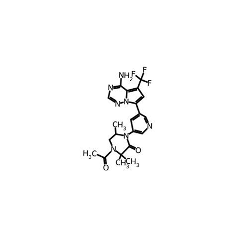 CC(=O)N1CC(C)N(c2cncc(-c3cc(C(F)(F)F)c4c(N)ncnn34)c2)C(=O)C1(C)C